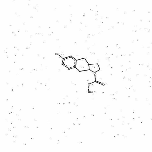 CC(C)(C)OC(=O)N1CCC2Cc3cc(Br)cnc3CC21